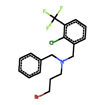 FC(F)(F)c1cccc(CN(CCCBr)Cc2ccccc2)c1Cl